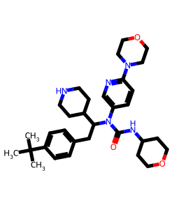 CC(C)(C)c1ccc(CC(C2CCNCC2)N(C(=O)NC2CCOCC2)c2ccc(N3CCOCC3)nc2)cc1